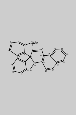 COc1ccccc1C1(c2ccccc2)C=Cc2c(ccc3ccccc23)N1C